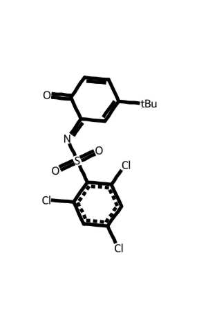 CC(C)(C)C1=C/C(=N\S(=O)(=O)c2c(Cl)cc(Cl)cc2Cl)C(=O)C=C1